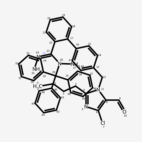 CCCCc1nc(Cl)c(C=O)n1Cc1ccc(-c2ccccc2/C(=N/N)N(N)C(c2ccccc2)(c2ccccc2)c2ccccc2)cc1